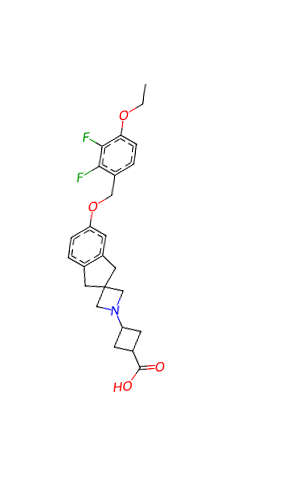 CCOc1ccc(COc2ccc3c(c2)CC2(C3)CN(C3CC(C(=O)O)C3)C2)c(F)c1F